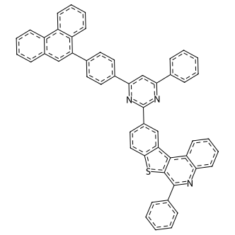 c1ccc(-c2cc(-c3ccc(-c4cc5ccccc5c5ccccc45)cc3)nc(-c3ccc4sc5c(-c6ccccc6)nc6ccccc6c5c4c3)n2)cc1